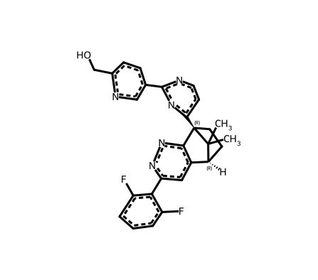 CC1(C)[C@H]2CC[C@@]1(c1ccnc(-c3ccc(CO)nc3)n1)c1nnc(-c3c(F)cccc3F)cc12